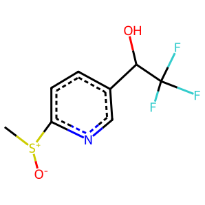 C[S+]([O-])c1ccc(C(O)C(F)(F)F)cn1